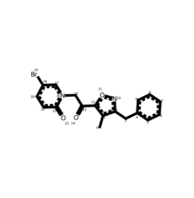 Cc1c(Cc2ccccc2)noc1C(=O)Cn1cc(Br)ccc1=O